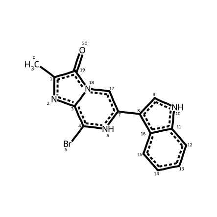 Cc1nc2c(Br)[nH]c(-c3c[nH]c4ccccc34)cn-2c1=O